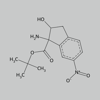 CC(C)(C)OC(=O)C1(N)c2cc([N+](=O)[O-])ccc2CC1O